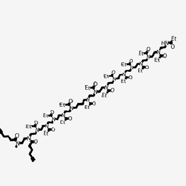 C#CCCCC(=O)N(C)CCN(CCN(CCN(CCN(CCN(CCN(CCCCN(CCN(CCN(CCN(CCN(CCN(CCN(CCN(CCN(CCNC(=O)CC)C(=O)CC)C(=O)CC)C(=O)CC)C(=O)CC)C(=O)CC)C(=O)CC)C(=O)CC)C(=O)CC)C(=O)CC)C(=O)CC)C(=O)CC)C(=O)CC)C(=O)CC)C(=O)CC)C(=O)CCCC#C